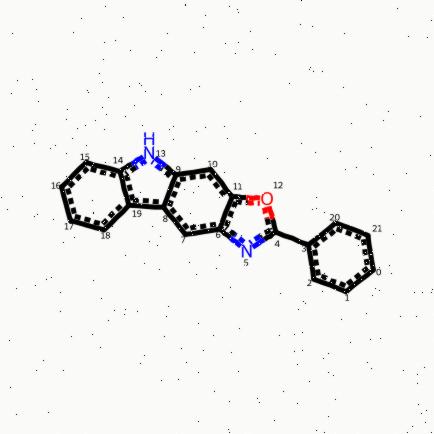 c1ccc(-c2nc3cc4c(cc3o2)[nH]c2ccccc24)cc1